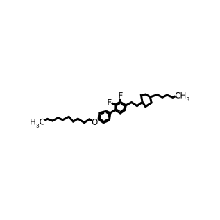 CCCCCCCCCCOc1ccc(-c2ccc(CCC3CCC(CCCCC)CC3)c(F)c2F)cc1